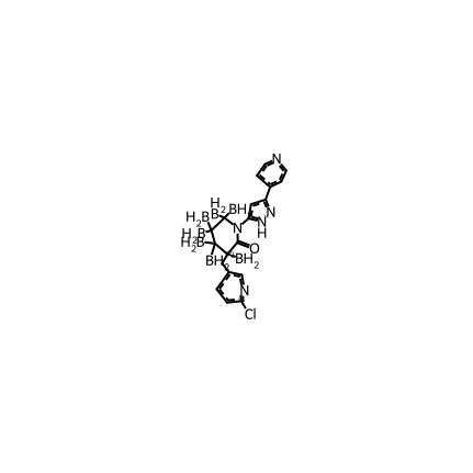 BC1(B)N(c2cc(-c3ccncc3)n[nH]2)C(=O)[C@](B)(Cc2ccc(Cl)nc2)C(B)(B)C1(B)B